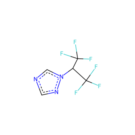 FC(F)(F)C(n1cncn1)C(F)(F)F